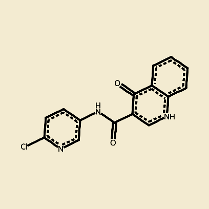 O=C(Nc1ccc(Cl)nc1)c1c[nH]c2ccccc2c1=O